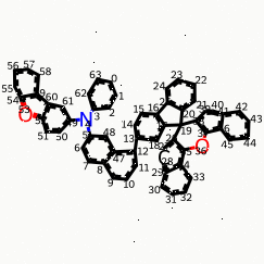 c1ccc(N(c2ccc3cccc(-c4ccc5c(c4)C4(c6ccccc6-5)c5ccc6ccccc6c5Oc5c4ccc4ccccc54)c3c2)c2ccc3oc4ccccc4c3c2)cc1